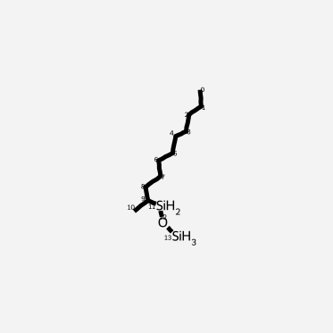 CCCCCCCCCC(C)[SiH2]O[SiH3]